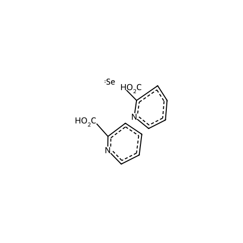 O=C(O)c1ccccn1.O=C(O)c1ccccn1.[Se]